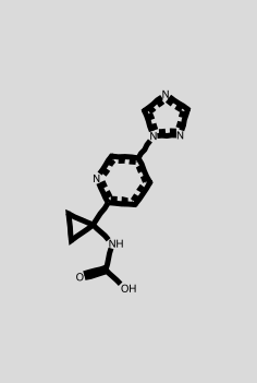 O=C(O)NC1(c2ccc(-n3cncn3)cn2)CC1